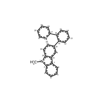 Cn1c2ccccc2c2cc(-c3ccccc3-c3ccccn3)ccc21